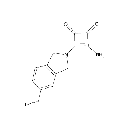 Nc1c(N2Cc3ccc(CI)cc3C2)c(=O)c1=O